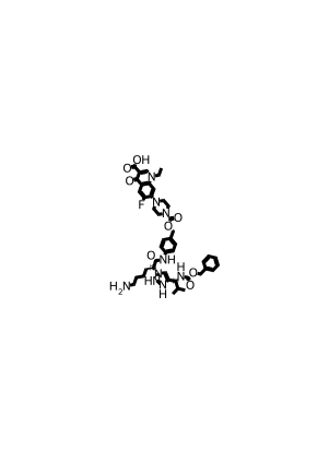 CCn1cc(C(=O)O)c(=O)c2cc(F)c(N3CCN(C(=O)OCc4ccc(NC(=O)[C@H](CCCCN)N5C=C([C@@H](NC(=O)OCc6ccccc6)C(C)C)NN5)cc4)CC3)cc21